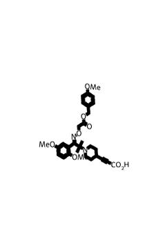 COc1ccc(COC(=O)CON=C(c2cc(OC)ccc2OC)C(C)(C)N2CCC(C#CC(=O)O)CC2)cc1